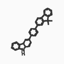 CC1(C)c2ccccc2-c2ccc(-c3ccc(C4=CC5c6ccccc6NC5C=C4)cc3)cc21